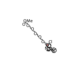 COC(=O)COCCOCCOCCOCCOCCOc1cc(N2CC3CCC2CN(c2cc(Cl)nnc2N)C3)ccn1